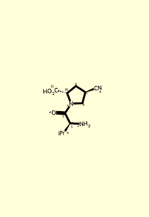 CC(C)[C@H](N)C(=O)N1C[C@H](C#N)C[C@H]1C(=O)O